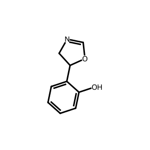 Oc1ccccc1C1CN=CO1